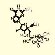 C#C[C@]1(COP(=O)(O)OP(=O)(O)OP(=O)(O)O)O[C@@H](n2cnc3c(=O)[nH]c(N)nc32)[C@H](F)[C@@H]1O